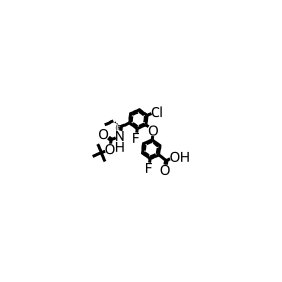 CC[C@@H](NC(=O)OC(C)(C)C)c1ccc(Cl)c(Oc2ccc(F)c(C(=O)O)c2)c1F